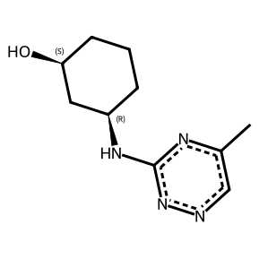 Cc1cnnc(N[C@@H]2CCC[C@H](O)C2)n1